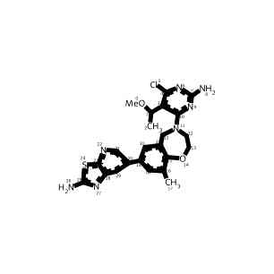 COC(C)c1c(Cl)nc(N)nc1N1CCOc2c(C)cc(-c3cnc4sc(N)nc4c3)cc2C1